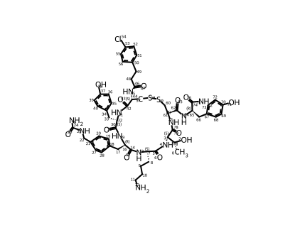 C[C@@H](O)[C@@H]1NC(=O)[C@H](CCCCN)NC(=O)[C@@H](Cc2ccc(CNC(N)=O)cc2)NC(=O)[C@H](Cc2ccc(O)cc2)NC(=O)[C@H](NC(=O)CCc2ccc(Cl)cc2)CSSC[C@@H](C(=O)N[C@H](Cc2ccc(O)cc2)C(N)=O)NC1=O